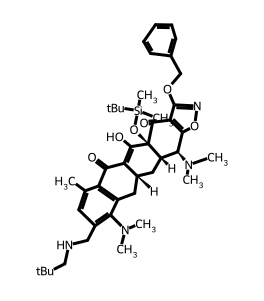 Cc1cc(CNCC(C)(C)C)c(N(C)C)c2c1C(=O)C1=C(O)[C@]3(O[Si](C)(C)C(C)(C)C)C(=O)c4c(OCc5ccccc5)noc4[C@@H](N(C)C)[C@@H]3C[C@@H]1C2